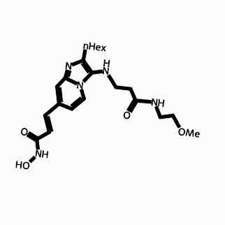 CCCCCCc1nc2cc(/C=C/C(=O)NO)ccn2c1NCCC(=O)NCCOC